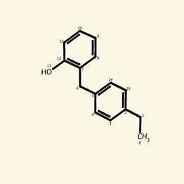 CCc1ccc(Cc2[c]cccc2O)cc1